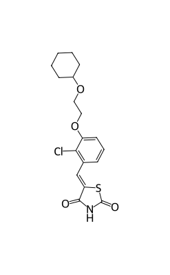 O=C1NC(=O)/C(=C/c2cccc(OCCOC3CCCCC3)c2Cl)S1